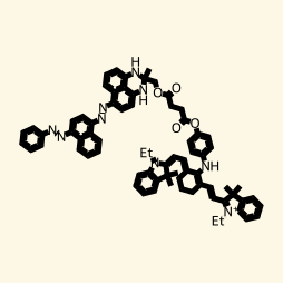 CCN1/C(=C/C=C2\CCCC(/C=C/C3=[N+](CC)c4ccccc4C3(C)C)=C2Nc2ccc(OC(=O)CCC(=O)OCC3(C)Nc4cccc5c(/N=N/c6ccc(/N=N/c7ccccc7)c7ccccc67)ccc(c45)N3)cc2)C(C)(C)c2ccccc21